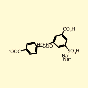 O=C(O)c1cc(C(=O)O)cc(S(=O)(=O)O)c1.O=C([O-])c1ccc(C(=O)[O-])cc1.[Na+].[Na+]